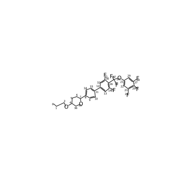 CCCOC1CCC(c2ccc(-c3cc(F)c(C(F)(F)Oc4cc(F)c(F)c(F)c4)c(F)c3)cc2)OC1